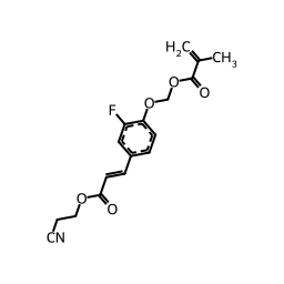 C=C(C)C(=O)OCOc1ccc(/C=C/C(=O)OCCC#N)cc1F